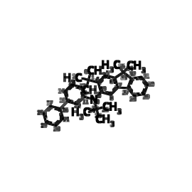 CC(C)(C)c1cc2c(cc1N(c1cccc(-c3ccccc3)c1)C(C)(C)C)-c1ccccc1C2(C)C